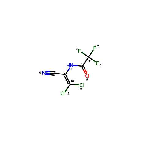 N#CC(NC(=O)C(F)(F)F)=C(Cl)Cl